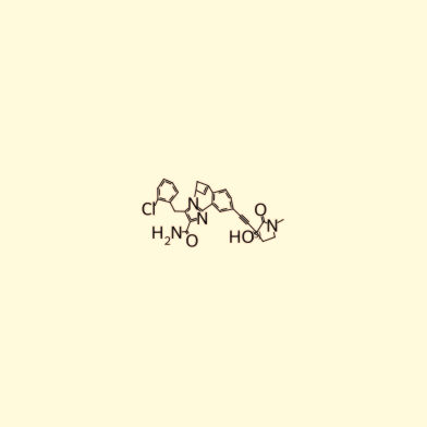 CN1CC[C@](O)(C#Cc2ccc3c(c2)-c2nc(C(N)=O)c(Cc4ccccc4Cl)n2C2C=C3C2)C1=O